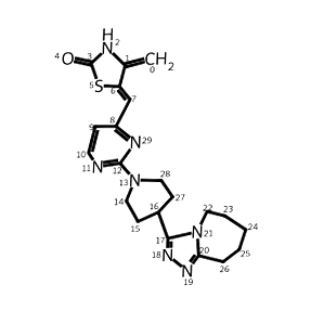 C=c1[nH]c(=O)s/c1=C\c1ccnc(N2CCC(c3nnc4n3CCCCC4)CC2)n1